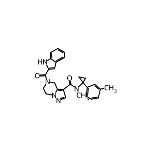 Cc1cccc(C2(N(C)C(=O)c3cnn4c3CN(C(=O)c3cc5ccccc5[nH]3)CC4)CC2)c1